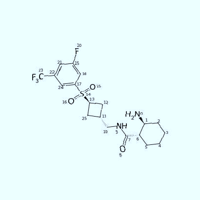 N[C@H]1CCCC[C@@H]1C(=O)NC[C@H]1C[C@H](S(=O)(=O)c2cc(F)cc(C(F)(F)F)c2)C1